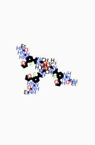 CCNC(=O)Nc1nc2cc(-c3cnc(C(C)(C)OP(=O)(OC(C)(C)c4ncc(-c5cc6nc(NC(=O)NCC)[nH]c6c(C6CCCO6)c5F)cn4)OC(C)(C)c4ncc(-c5cc6nc(NC(=O)NCC)[nH]c6c(C6CCCO6)c5F)cn4)nc3)c(F)c(C3CCCO3)c2[nH]1